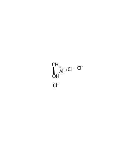 CO.[Al+3].[Cl-].[Cl-].[Cl-]